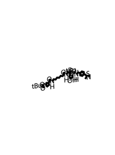 Cc1ncsc1-c1ccc([C@H](C)NC(=O)[C@@H]2C[C@@H](O)CN2C(=O)C(NC(=O)CCCCCCNC(=O)C2CCN(C(=O)OC(C)(C)C)C2)C(C)(C)C)cc1